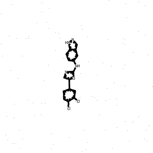 Clc1ccc(-c2cnc(Nc3ccc4[nH]ncc4c3)o2)cc1Cl